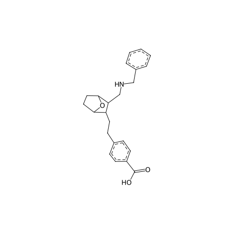 O=C(O)c1ccc(CCC2C3CCC(O3)C2CNCc2ccccc2)cc1